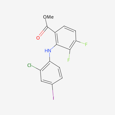 COC(=O)c1ccc(F)c(F)c1Nc1ccc(I)cc1Cl